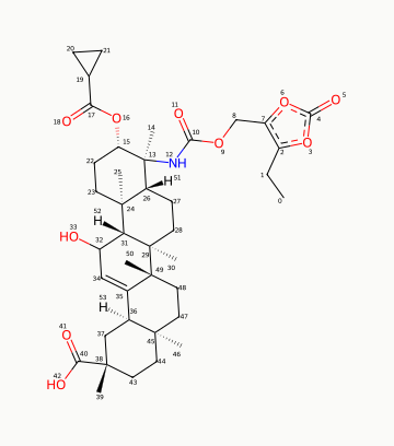 CCc1oc(=O)oc1COC(=O)N[C@]1(C)[C@@H](OC(=O)C2CC2)CC[C@@]2(C)[C@H]1CC[C@]1(C)[C@@H]2C(O)C=C2[C@@H]3C[C@@](C)(C(=O)O)CC[C@]3(C)CC[C@]21C